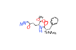 CS[C@@H](Cc1ccccc1)C(=O)N[C@@H](CCC(=O)C=[N+]=[N-])C(=O)OC(C)C